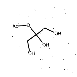 CC(=O)OC(O)(CO)CO